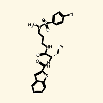 CC(C)C[C@H](NC(=O)c1cc2ccccc2s1)C(=O)NCCCN(C)S(=O)(=O)c1ccc(Cl)cc1